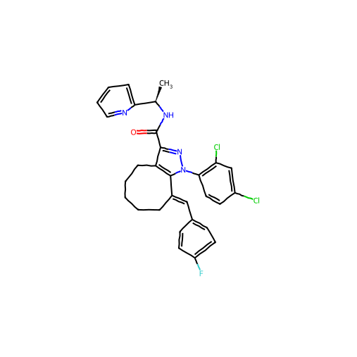 C[C@@H](NC(=O)c1nn(-c2ccc(Cl)cc2Cl)c2c1CCCCC/C2=C\c1ccc(F)cc1)c1ccccn1